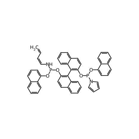 C=C/C=C\NP(Oc1ccc2ccccc2c1-c1c(OP(Oc2cccc3ccccc23)n2cccc2)ccc2ccccc12)Oc1cccc2ccccc12